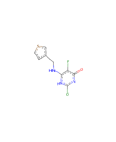 O=c1nc(Cl)[nH]c(NCc2ccsc2)c1F